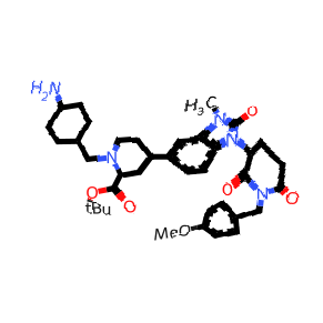 COc1ccc(CN2C(=O)CCC(n3c(=O)n(C)c4cc(C5CCN(CC6CCC(N)CC6)C(C(=O)OC(C)(C)C)C5)ccc43)C2=O)cc1